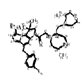 CC(C)c1nnc2c(Cc3ccc(F)cc3)cc3c(n12)C(C)(C)CN3C(=O)CN1C[C@@H](C)NC[C@@H]1CN1CCOC[C@H]1C